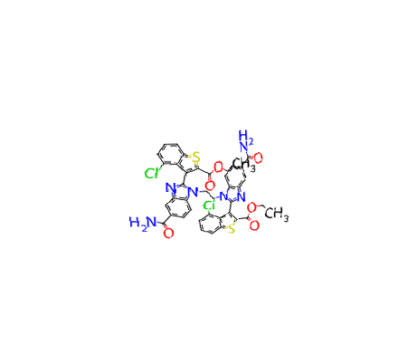 CCOC(=O)c1sc2cccc(Cl)c2c1-c1nc2cc(C(N)=O)ccc2n1CCn1c(-c2c(C(=O)OCC)sc3cccc(Cl)c23)nc2cc(C(N)=O)ccc21